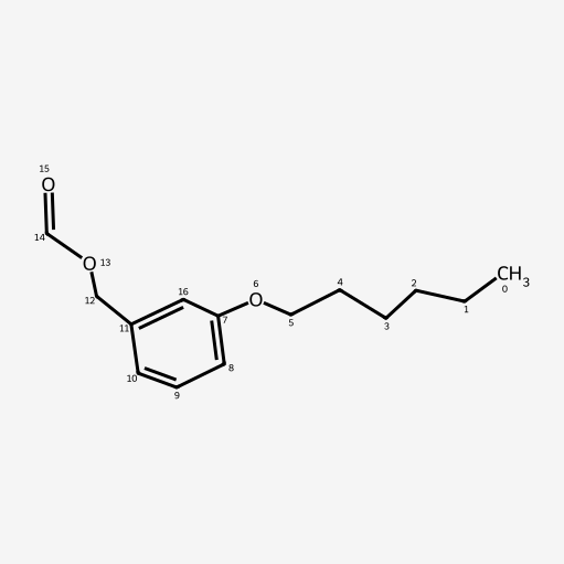 CCCCCCOc1cccc(COC=O)c1